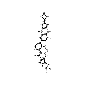 Cn1cc(-c2ccnc(N3CCn4c(cc5c4CC(C)(C)C5)C3=O)c2CO)cc(Nc2cc(C3COC3)[nH]n2)c1=O